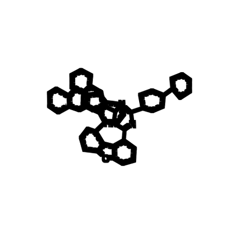 c1ccc(-c2ccc(C3=NC(c4ccc5ccccc5c4)NC(c4cccc5oc6cccc(-c7cccc8oc9cc%10ccccc%10cc9c78)c6c45)=N3)cc2)cc1